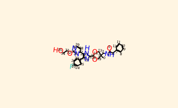 CC1(CNC(=O)Cc2ccccc2)COC(c2nc(-c3ccc(F)cc3)c(-c3ccnc(OCCO)n3)[nH]2)OC1